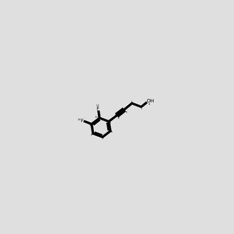 OCCC#Cc1cccc(F)c1F